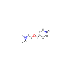 CCN(C)CCOCC1CCN(C)CC1